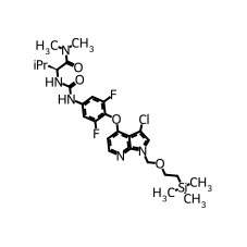 CC(C)[C@H](NC(=O)Nc1cc(F)c(Oc2ccnc3c2c(Cl)cn3COCC[Si](C)(C)C)c(F)c1)C(=O)N(C)C